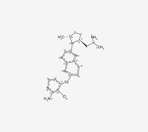 CC(N)C[C@@H]1CC[C@@H](C)N1c1cnc2nc(Sc3ccnc(N)c3Cl)ccc2n1